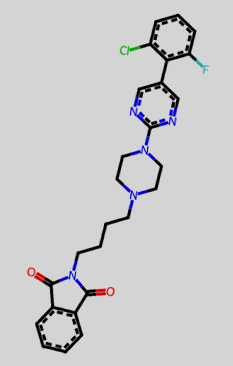 O=C1c2ccccc2C(=O)N1CCCCN1CCN(c2ncc(-c3c(F)cccc3Cl)cn2)CC1